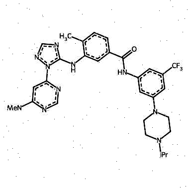 CNc1cc(-n2ncnc2Nc2cc(C(=O)Nc3cc(N4CCN(C(C)C)CC4)cc(C(F)(F)F)c3)ccc2C)ncn1